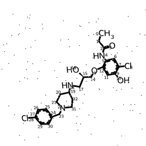 CCC(=O)Nc1cc(Cl)c(O)cc1OC[C@H](O)CNC1CCN(Cc2ccc(Cl)cc2)CC1